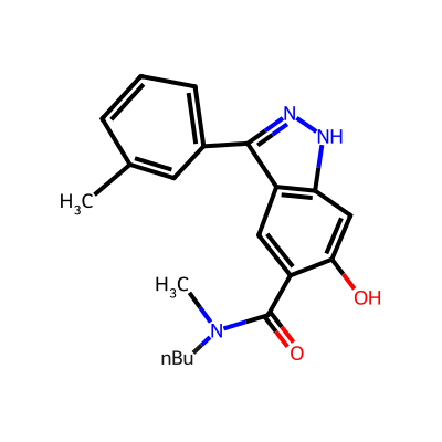 CCCCN(C)C(=O)c1cc2c(-c3cccc(C)c3)n[nH]c2cc1O